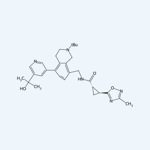 Cc1noc([C@H]2C[C@@H]2C(=O)NCc2ccc(-c3cncc(C(C)(C)O)c3)c3c2CN(C(C)(C)C)CC3)n1